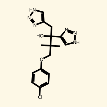 CC(C)(COc1ccc(Cl)cc1)C(O)(Cc1c[nH]nn1)c1c[nH]nn1